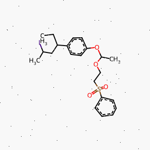 CCC(CC(C)I)c1ccc(OC(C)OCCS(=O)(=O)c2ccccc2)cc1